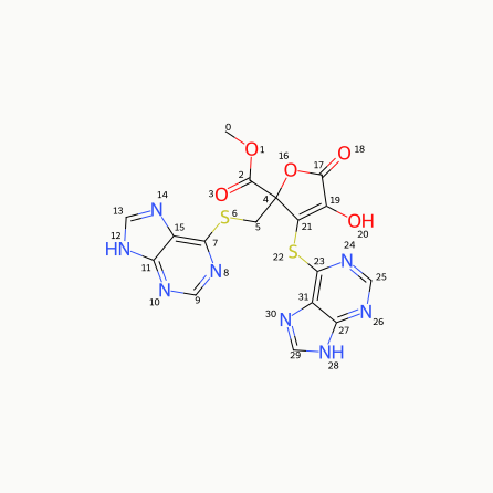 COC(=O)C1(CSc2ncnc3[nH]cnc23)OC(=O)C(O)=C1Sc1ncnc2[nH]cnc12